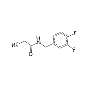 N#CCC(=O)NCc1ccc(F)c(F)c1